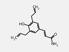 C=CCc1cc(C=CC(N)=O)cc(CC=C)c1O